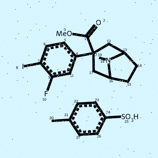 COC(=O)C1(c2ccc(I)c(F)c2)CC2CCC(C1)N2C.Cc1ccc(S(=O)(=O)O)cc1